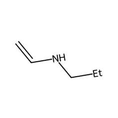 [CH2]CCNC=C